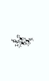 C=C(C)C(=O)O.C=C(CC)C(=O)O.C=CC(N)=O